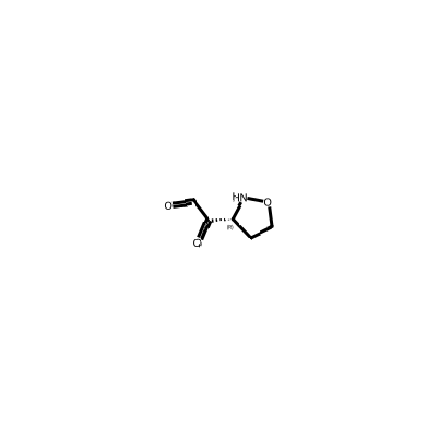 O=CC(=O)[C@H]1CCON1